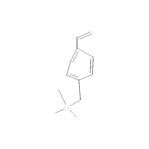 C=Cc1ccc(C[Si](C)(C)C)cc1